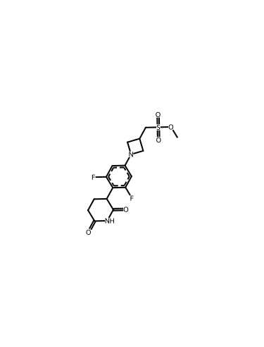 COS(=O)(=O)CC1CN(c2cc(F)c(C3CCC(=O)NC3=O)c(F)c2)C1